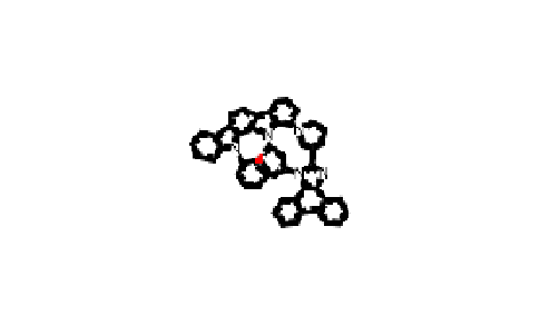 c1ccc(-n2c3ccccc3c3ccc4c5ccccc5n(-c5cccc(-n6c(-c7cccnc7)nc7c8ccccc8c8ccccc8c76)c5)c4c32)cc1